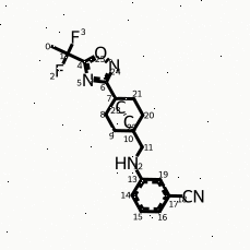 CC(F)(F)c1nc(C23CCC(CNc4cccc(C#N)c4)(CC2)CC3)no1